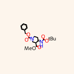 COC(=O)C1CN(C(=O)OCc2ccccc2)CC[C@@H]1NC(=O)OC(C)(C)C